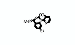 CCc1ccc2c(NC)nc(=O)n(-c3ncccc3Cl)c2c1